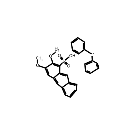 COc1cc2cc3ccccc3cc2c(S(=O)(=O)O)c1OC.c1ccc([I+]c2ccccc2)cc1